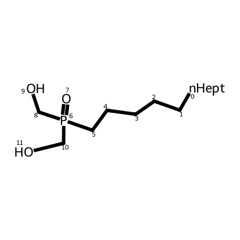 CCCCCCCCCCCCP(=O)(CO)CO